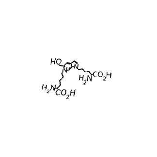 NC(CCCCn1ccc2cc(CO)[n+](CCCCC(N)C(=O)O)cc21)C(=O)O